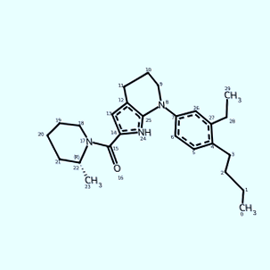 CCCCc1ccc(N2CCCc3cc(C(=O)N4CCCC[C@H]4C)[nH]c32)cc1CC